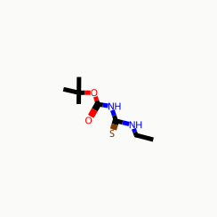 CCNC(=S)NC(=O)OC(C)(C)C